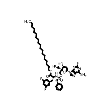 C#C[C@]1(CO[P@@](=O)(N[C@@H](Cc2cc(F)cc(F)c2)C(=O)OCCCCCCCCCCCCCCCCCCC)Oc2ccccc2)O[C@@H](n2cnc3c(N)nc(F)nc32)C[C@@H]1O